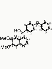 COc1cc2ncnc([C@@H](O)c3ccc(Oc4ccccc4)cc3)c2cc1OC